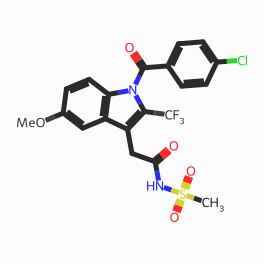 COc1ccc2c(c1)c(CC(=O)NS(C)(=O)=O)c(C(F)(F)F)n2C(=O)c1ccc(Cl)cc1